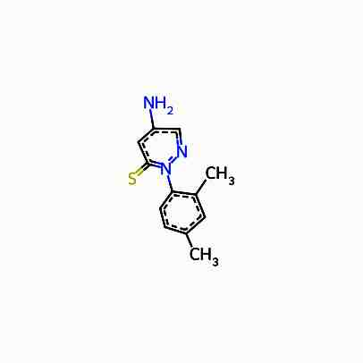 Cc1ccc(-n2ncc(N)cc2=S)c(C)c1